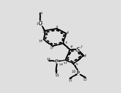 COc1ccc(-c2scc(P(C)C)c2P(C)C)cc1